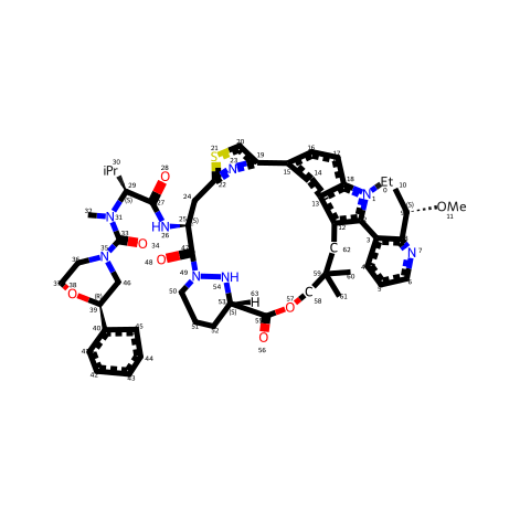 CCn1c(-c2cccnc2[C@H](C)OC)c2c3cc(ccc31)-c1csc(n1)C[C@H](NC(=O)[C@H](C(C)C)N(C)C(=O)N1CCO[C@H](c3ccccc3)C1)C(=O)N1CCC[C@H](N1)C(=O)OCC(C)(C)C2